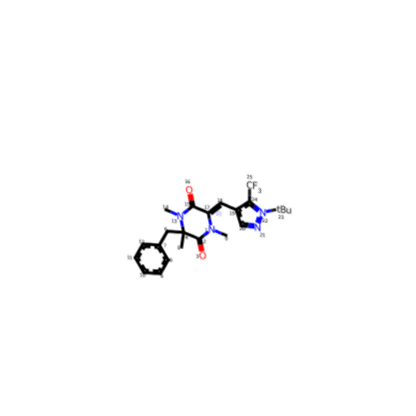 CN1C(=O)C(C)(Cc2ccccc2)N(C)C(=O)/C1=C/c1cnn(C(C)(C)C)c1C(F)(F)F